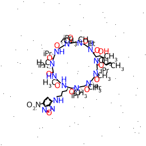 C/C=C/C[C@@H](C)[C@@H](O)[C@H]1C(=O)N[C@@H](CC)C(=O)N(C)CC(=O)N(C)[C@@H](CC(C)C)C(=O)N[C@@H](C(C)C)C(=O)N(C)[C@@H](CC(C)C)C(=O)N[C@@H](C)C(=O)N[C@H](CCCCNc2ccc([N+](=O)[O-])c3nonc23)C(=O)N(C)[C@@H](CC(C)C)C(=O)N(C)[C@@H](CC(C)C)C(=O)N(C)[C@@H](C(C)C)C(=O)N1C